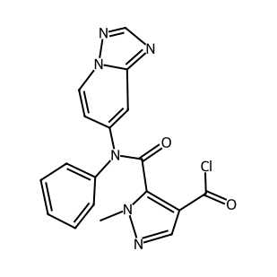 Cn1ncc(C(=O)Cl)c1C(=O)N(c1ccccc1)c1ccn2ncnc2c1